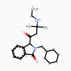 CC(C)(CC(=O)C1c2ccccc2C(=O)N1CC1CCCCC1)NCC(=O)O